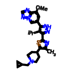 COc1cc(-c2[nH]nc(-c3nc(C)c(C4CCN(CC5CC5)CC4)s3)c2C(C)C)cn2ncnc12